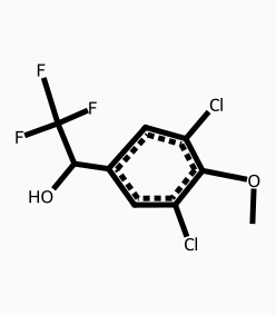 COc1c(Cl)cc(C(O)C(F)(F)F)cc1Cl